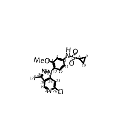 COc1cc(NS(=O)(=O)C2CC2)ccc1-n1nc(I)c2cnc(Cl)cc21